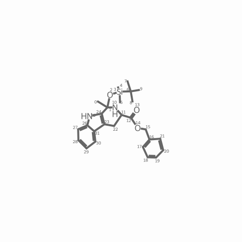 CC1(O[Si](C)(C)C(C)(C)C)NC(C(=O)OCc2ccccc2)Cc2c1[nH]c1ccccc21